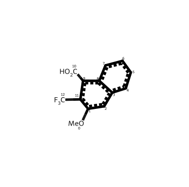 COc1cc2ccccc2c(C(=O)O)c1C(F)(F)F